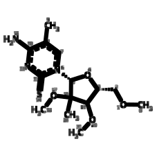 COC[C@H]1O[C@@H](n2cc(C)c(N)nc2=S)C(C)(OC)C1OC